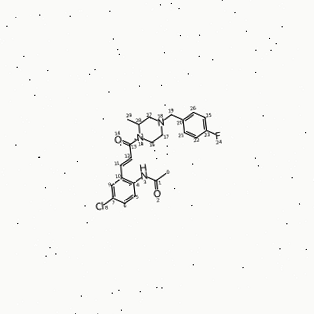 CC(=O)Nc1ccc(Cl)cc1/C=C/C(=O)N1CCN(Cc2ccc(F)cc2)CC1C